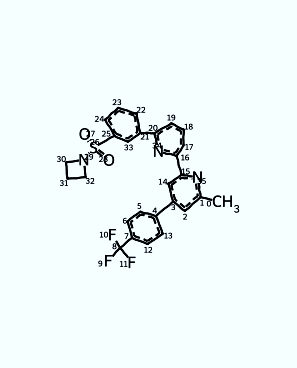 Cc1cc(-c2ccc(C(F)(F)F)cc2)cc(-c2cccc(-c3cccc(S(=O)(=O)N4CCC4)c3)n2)n1